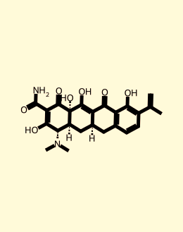 C=C(C)c1ccc2c(c1O)C(=O)C1=C(O)[C@]3(O)C(=O)C(C(N)=O)=C(O)[C@@H](N(C)C)[C@@H]3C[C@@H]1C2